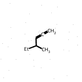 [CH2]CC(C)C=C=C